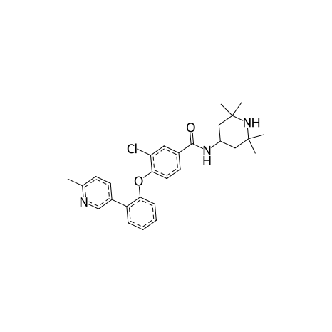 Cc1ccc(-c2ccccc2Oc2ccc(C(=O)NC3CC(C)(C)NC(C)(C)C3)cc2Cl)cn1